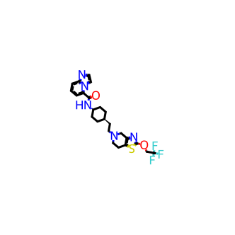 O=C(N[C@H]1CC[C@H](CCN2CCc3sc(OCC(F)(F)F)nc3C2)CC1)c1cccc2nccn12